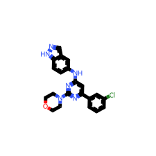 Clc1cccc(-c2cc(Nc3ccc4[nH]ncc4c3)nc(N3CCOCC3)n2)c1